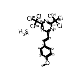 COc1ccc(C=Cc2nc(C(Cl)(Cl)Cl)nc(C(Cl)(Cl)Cl)n2)cc1.S